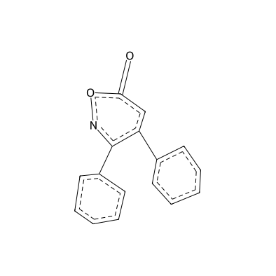 O=c1cc(-c2ccccc2)c(-c2ccccc2)no1